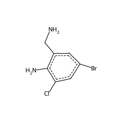 NCc1cc(Br)cc(Cl)c1N